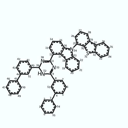 c1ccc(-c2cccc(C3=NC(c4cccc5c4c4ccccc4n5-c4cccc5c4sc4ccccc45)=NC(c4cccc(-c5ccccc5)c4)N3)c2)cc1